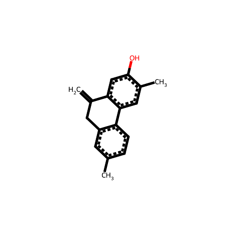 C=C1Cc2cc(C)ccc2-c2cc(C)c(O)cc21